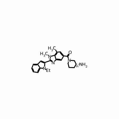 CCn1c(-c2nc3cc(C(=O)N4CCC[C@@H](N)C4)cc(C)c3n2C)cc2ccccc21